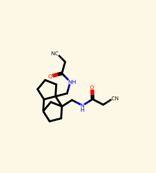 N#CCC(=O)NCC12CCC(C1)C1CCCC12CNC(=O)CC#N